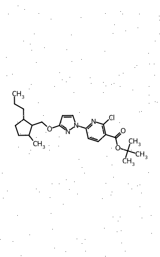 CCCC1CCC(C)C1COc1ccn(-c2ccc(C(=O)OC(C)(C)C)c(Cl)n2)n1